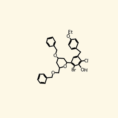 CCOc1ccc(Cc2cc(C3CC(OCc4ccccc4)CC(COCc4ccccc4)O3)c(Br)c(O)c2Cl)cc1